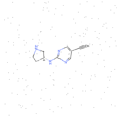 C#Cc1cnc(N[C@@H]2CCNC2)nc1